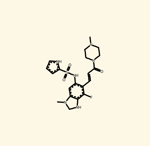 CN1CCN(C(=O)/C=C/c2c(NS(=O)(=O)c3ccc[nH]3)cc3c(c2F)NCN3C)CC1